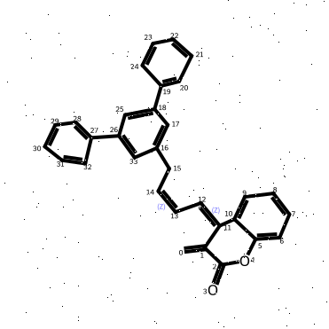 C=c1c(=O)oc2ccccc2/c1=C/C=C\Cc1cc(-c2ccccc2)cc(-c2ccccc2)c1